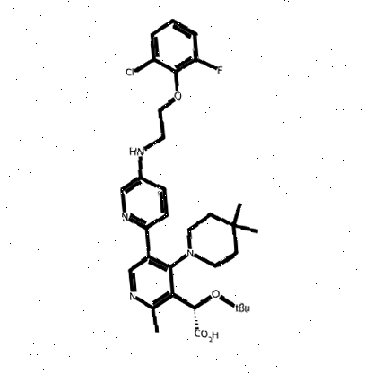 Cc1ncc(-c2ccc(NCCOc3c(F)cccc3Cl)cn2)c(N2CCC(C)(C)CC2)c1[C@H](OC(C)(C)C)C(=O)O